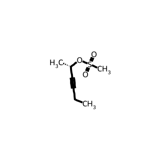 CCC#C[C@H](C)OS(C)(=O)=O